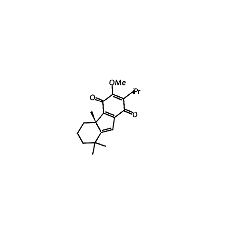 COC1=C(C(C)C)C(=O)C2=C(C1=O)[C@@]1(C)CCCC(C)(C)C1=C2